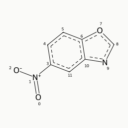 O=[N+]([O-])c1ccc2ocnc2c1